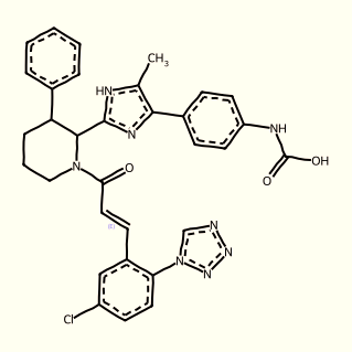 Cc1[nH]c(C2C(c3ccccc3)CCCN2C(=O)/C=C/c2cc(Cl)ccc2-n2cnnn2)nc1-c1ccc(NC(=O)O)cc1